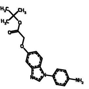 CC(C)(C)OC(=O)COc1ccc2c(c1)ncn2-c1ccc(N)cc1